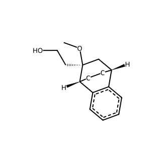 CO[C@@]1(CCO)C[C@H]2CC[C@@H]1c1ccccc12